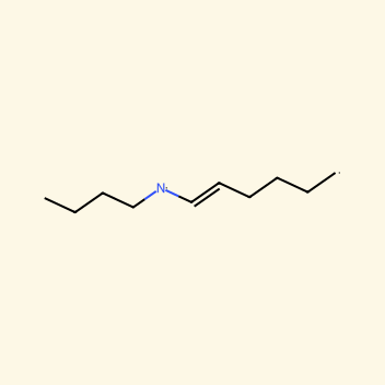 [CH2]CCCC=C[N]CCCC